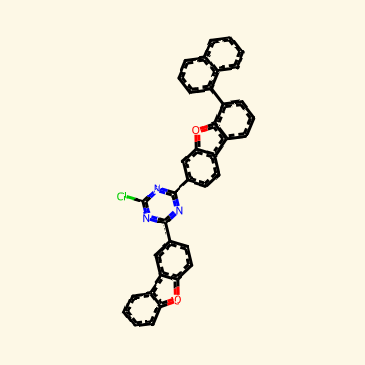 Clc1nc(-c2ccc3c(c2)oc2c(-c4cccc5ccccc45)cccc23)nc(-c2ccc3oc4ccccc4c3c2)n1